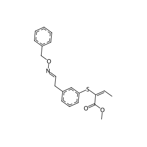 CC=C(Sc1cccc(CC=NOCc2ccccc2)c1)C(=O)OC